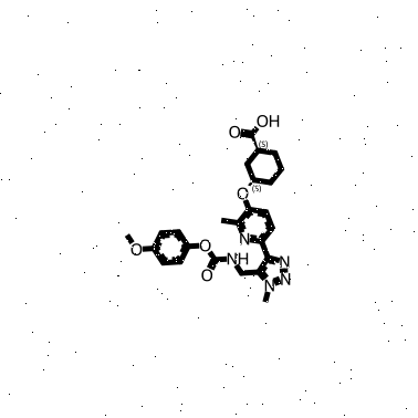 COc1ccc(OC(=O)NCc2c(-c3ccc(O[C@H]4CCC[C@H](C(=O)O)C4)c(C)n3)nnn2C)cc1